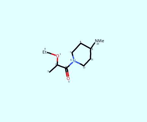 CCOC(C)C(=O)N1CCC(NC)CC1